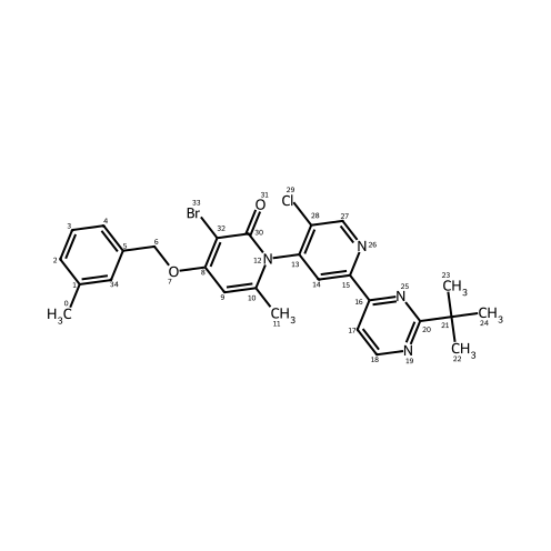 Cc1cccc(COc2cc(C)n(-c3cc(-c4ccnc(C(C)(C)C)n4)ncc3Cl)c(=O)c2Br)c1